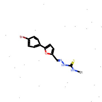 CCNC(=S)N/N=C/c1ccc(-c2ccc(Br)cc2)o1